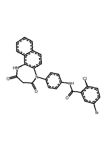 O=C1CC(=O)N(c2ccc(NC(=O)c3cc(Br)ccc3Cl)cc2)c2ccc3ccccc3c2N1